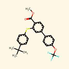 COC(=O)c1ccc(-c2ccc(OC(F)(F)F)cc2)cc1Sc1ccc(C(C)(C)C)cc1